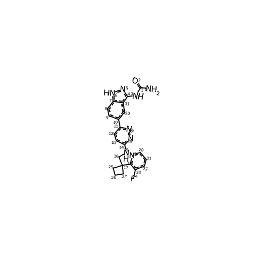 NC(=O)Nc1n[nH]c2ccc(-c3ccc(NCC4(c5ncccc5F)CCC4)nn3)cc12